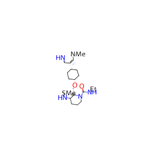 CCNC(=O)N1CCCC(NSC)[C@@H]1CO[C@H]1CC[C@@H](/C(C=N)=C/NC)CC1